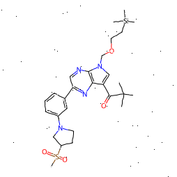 CC(C)(C)C(=O)c1cn(COCC[Si](C)(C)C)c2ncc(-c3cccc(N4CCC(S(C)(=O)=O)C4)c3)nc12